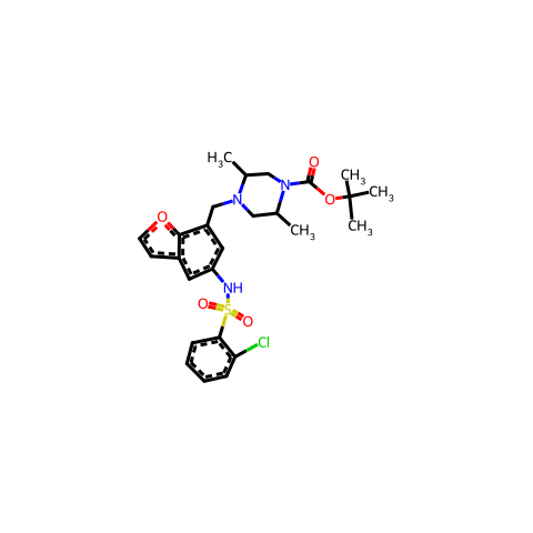 CC1CN(C(=O)OC(C)(C)C)C(C)CN1Cc1cc(NS(=O)(=O)c2ccccc2Cl)cc2ccoc12